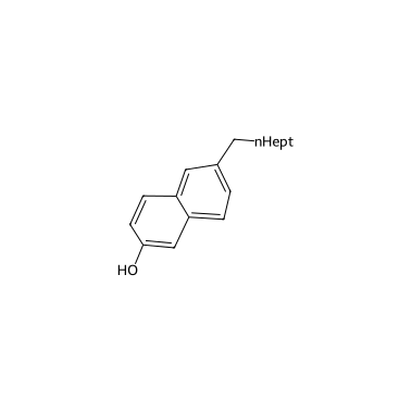 CCCCCCCCc1ccc2cc(O)ccc2c1